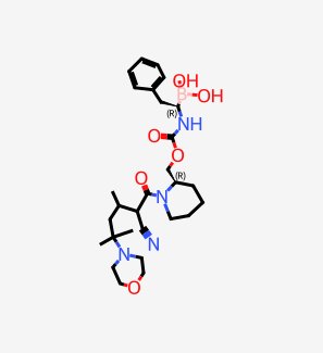 CC(CC(C)(C)N1CCOCC1)C(C#N)C(=O)N1CCCC[C@@H]1COC(=O)N[C@@H](Cc1ccccc1)B(O)O